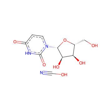 N#CO.O=c1ccn([C@@H]2O[C@H](CO)[C@@H](O)[C@H]2O)c(=O)[nH]1